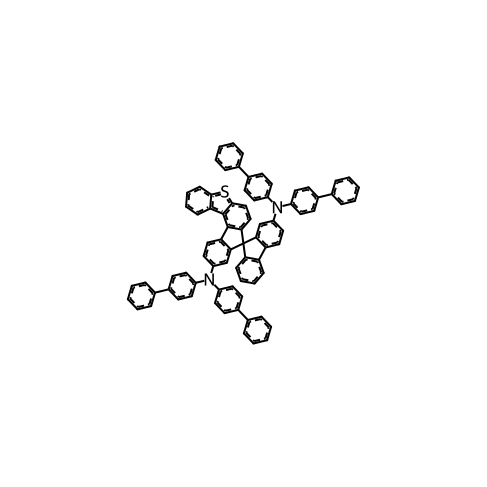 c1ccc(-c2ccc(N(c3ccc(-c4ccccc4)cc3)c3ccc4c(c3)C3(c5ccccc5-4)c4cc(N(c5ccc(-c6ccccc6)cc5)c5ccc(-c6ccccc6)cc5)ccc4-c4c3ccc3sc5ccccc5c43)cc2)cc1